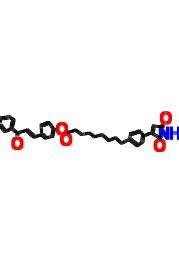 O=C1C=C(c2ccc(CCCCCCCCC(=O)Oc3ccc(C=CC(=O)c4ccccc4)cc3)cc2)C(=O)N1